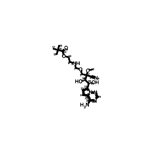 COC(C#N)(COCNCCOC(=O)C(C)(C)C)[C@@H](O)[C@@H](O)c1ccc2c(N)ncnn12